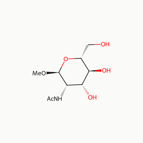 CO[C@H]1O[C@H](CO)[C@@H](O)[C@H](O)[C@@H]1NC(C)=O